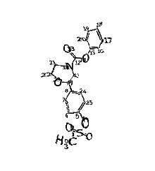 CS(=O)(=O)Oc1ccc([C@@H]2CN(C(=O)Oc3ccccc3)CCO2)cc1